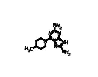 CC1CCN(c2nc(N)nc3[nH]c(N)nc23)CC1